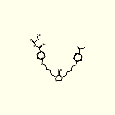 CC(=N)c1ccc(OCCCCN2CCN(CCCCOc3ccc(C(=N)NC(=O)OC(C)(C)C)cc3)C2=N)cc1